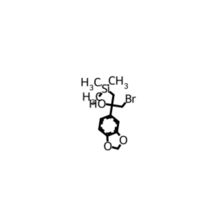 C[Si](C)(C)CC(O)(CBr)c1ccc2c(c1)OCO2